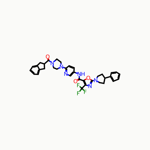 O=C(Nc1ccc(N2CCN(C(=O)C3Cc4ccccc4C3)CC2)nc1)c1oc(N2CCC(c3ccccc3)CC2)nc1C(F)(F)F